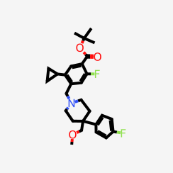 COCC1(c2ccc(F)cc2)CCN(Cc2cc(F)c(C(=O)OC(C)(C)C)cc2C2CC2)CC1